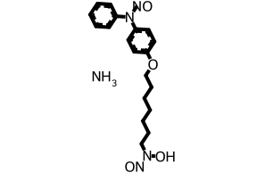 N.O=NN(O)CCCCCCCOc1ccc(N(N=O)c2ccccc2)cc1